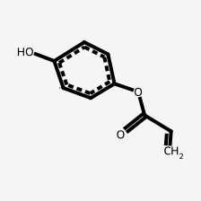 C=CC(=O)Oc1c[c]c(O)cc1